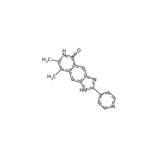 Cc1[nH]c(=O)c2cc3nc(-c4ccncc4)[nH]c3cc2c1C